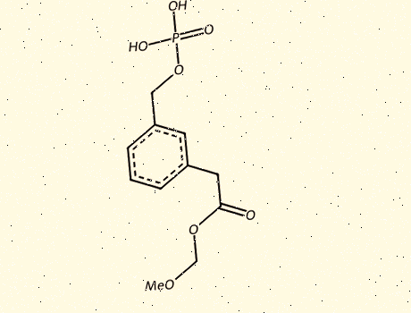 COCOC(=O)Cc1cccc(COP(=O)(O)O)c1